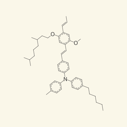 CC=Cc1cc(OC)c(C=Cc2ccc(N(c3ccc(C)cc3)c3ccc(CCCCCC)cc3)cc2)cc1OCCC(C)CCCC(C)C